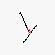 CCCCCCCCCC(CCCCCCCC)OC(=O)CCCCCCCCCCCCCCC(C)C